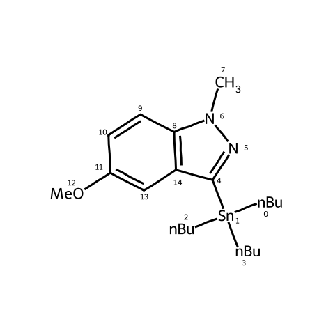 CCC[CH2][Sn]([CH2]CCC)([CH2]CCC)[c]1nn(C)c2ccc(OC)cc12